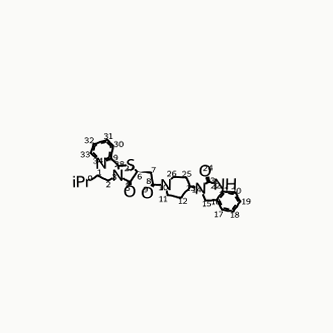 CC(C)CCN1C(=O)[C@H](CC(=O)N2CCC(N3Cc4ccccc4NC3=O)CC2)SC1c1ccccn1